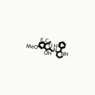 COc1ccc2c(c1)C(O)C(CNC1CCCNC1c1ccccc1)OC2(C)C(F)(F)F